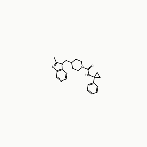 Cc1nc2cnccc2n1CC1CCN(C(=O)NC2(c3ccccc3)CC2)CC1